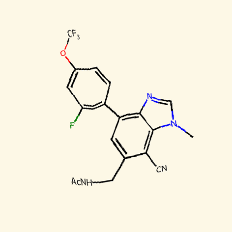 CC(=O)NCc1cc(-c2ccc(OC(F)(F)F)cc2F)c2ncn(C)c2c1C#N